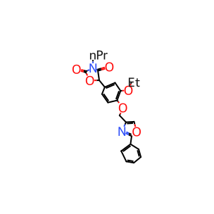 CCCN1C(=O)OC(c2ccc(OCc3coc(-c4ccccc4)n3)c(OCC)c2)C1=O